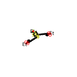 CCC(=O)Oc1cccc(CCCCCCCC2SSC(CCCCCCCc3cccc(OC(=O)CC)c3)C(CC3SC3CC3CS3)SC2CC2CC(CC)S2)c1